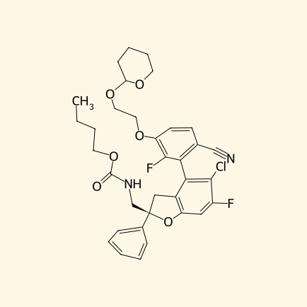 CCCCOC(=O)NC[C@@]1(c2ccccc2)Cc2c(cc(F)c(Cl)c2-c2c(C#N)ccc(OCCOC3CCCCO3)c2F)O1